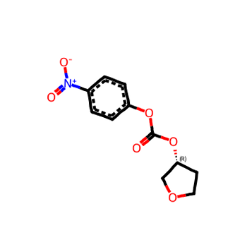 O=C(Oc1ccc([N+](=O)[O-])cc1)O[C@@H]1CCOC1